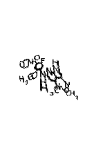 COCCN(C)c1cc(Nc2cc(F)c(C(=O)N3CCOCC3)cc2OC)nc2[nH]cc(C#N)c12